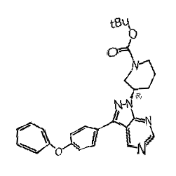 CC(C)(C)OC(=O)N1CCC[C@@H](n2nc(-c3ccc(Oc4ccccc4)cc3)c3cncnc32)C1